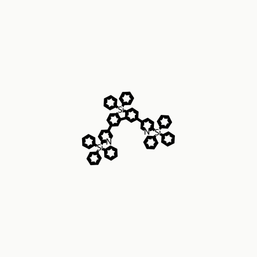 c1ccc([Si](c2ccccc2)(c2ccccc2)c2ccc(-c3ccc4c(c3)-c3cc(-c5ccc([Si](c6ccccc6)(c6ccccc6)c6ccccc6)nc5)ccc3[Si]4(c3ccccc3)c3ccccc3)cn2)cc1